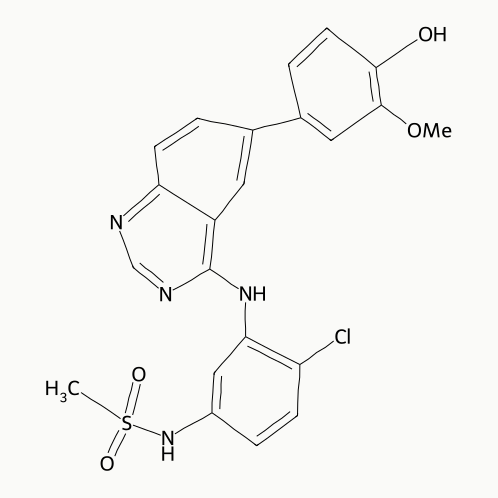 COc1cc(-c2ccc3ncnc(Nc4cc(NS(C)(=O)=O)ccc4Cl)c3c2)ccc1O